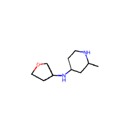 CC1CC(NC2CCOC2)CCN1